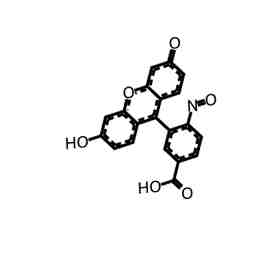 O=Nc1ccc(C(=O)O)cc1-c1c2ccc(=O)cc-2oc2cc(O)ccc12